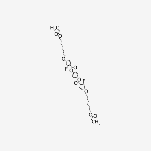 C=CC(=O)OCCCCCCCCOc1ccc(C(=O)Oc2ccc(OC(=O)c3ccc(OCCCCCCCCOC(=O)C=C)cc3F)cc2)c(F)c1